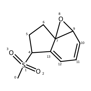 CS(=O)(=O)C1CCC23OC2C=CC=C13